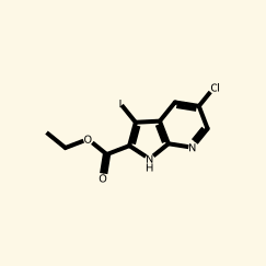 CCOC(=O)c1[nH]c2ncc(Cl)cc2c1I